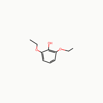 CCOc1c[c]cc(OCC)c1O